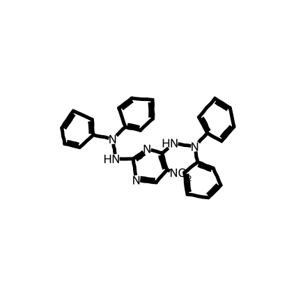 O=[N+]([O-])c1cnc(NN(c2ccccc2)c2ccccc2)nc1NN(c1ccccc1)c1ccccc1